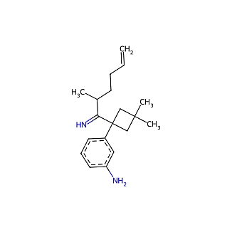 C=CCCC(C)C(=N)C1(c2cccc(N)c2)CC(C)(C)C1